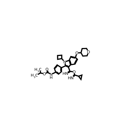 CC(C)OC(=O)Nc1ccc(-c2c(C(=N)OC(=N)C3CC3)c3ccc(OC4CCOCC4)cc3n2C2CCC2)cc1